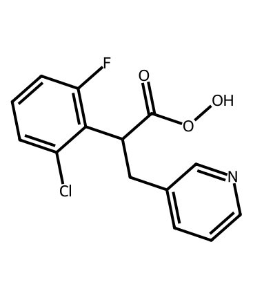 O=C(OO)C(Cc1cccnc1)c1c(F)cccc1Cl